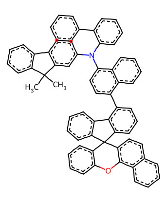 CC1(C)c2ccccc2-c2ccc(N(c3ccccc3-c3ccccc3)c3ccc(-c4cccc5c4-c4ccccc4C54c5ccccc5Oc5c4ccc4ccccc54)c4ccccc34)cc21